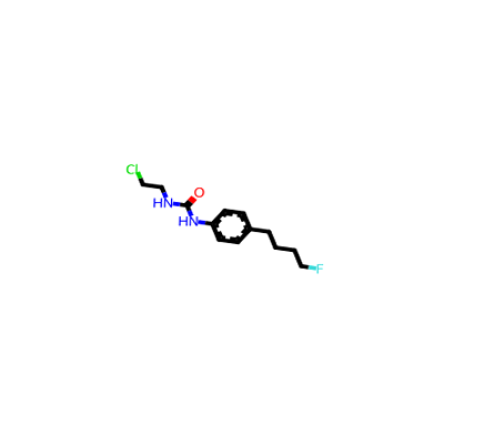 O=C(NCCCl)Nc1ccc(CCCCF)cc1